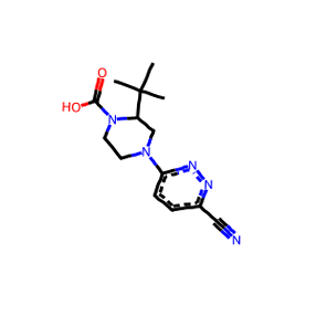 CC(C)(C)C1CN(c2ccc(C#N)nn2)CCN1C(=O)O